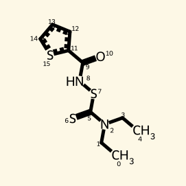 CCN(CC)C(=S)SNC(=O)c1cccs1